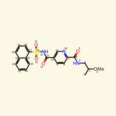 COC(C)CNC(=O)c1ccc(C(=O)NS(=O)(=O)c2cccc3ccccc23)cn1